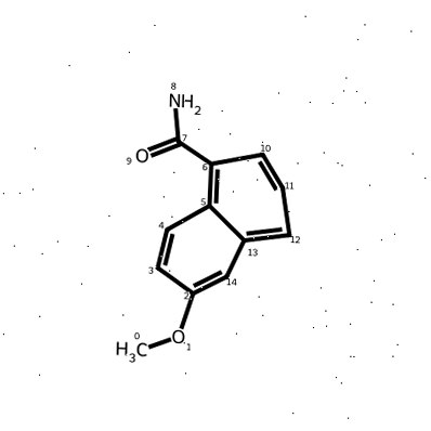 COc1ccc2c(C(N)=O)cccc2c1